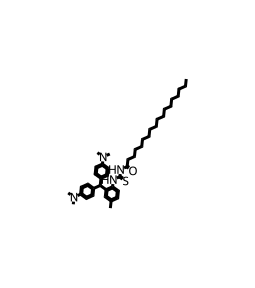 CCCCCCCCCCCCCCCCCC(=O)NC(=S)Nc1ccc(C)cc1C(c1ccc(N(C)C)cc1)c1ccc(N(C)C)cc1